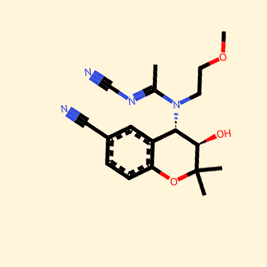 COCCN(C(C)=NC#N)[C@H]1c2cc(C#N)ccc2OC(C)(C)[C@@H]1O